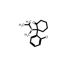 CC(C)N(C)C1(c2ccccc2Cl)CCCCC1=O